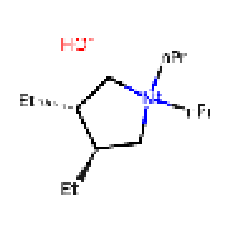 CCC[N+]1(CCC)C[C@@H](CC)[C@H](CC)C1.[OH-]